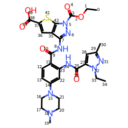 CCOC(=O)n1nc(NC(=O)c2ccc(N3CCN(C)CC3)cc2NC(=O)c2cc(C)nn2CC)c2cc(C(=O)O)sc21